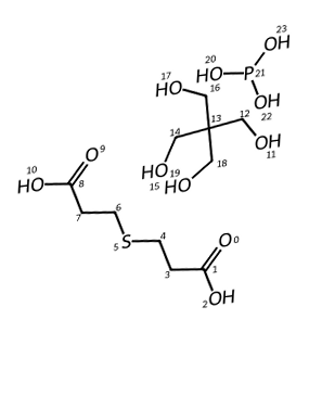 O=C(O)CCSCCC(=O)O.OCC(CO)(CO)CO.OP(O)O